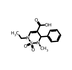 CCN1C=C(C(=O)O)C(c2ccccc2)N(C)S1(=O)=O